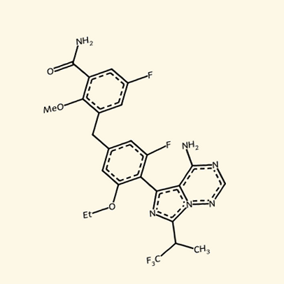 CCOc1cc(Cc2cc(F)cc(C(N)=O)c2OC)cc(F)c1-c1nc(C(C)C(F)(F)F)n2ncnc(N)c12